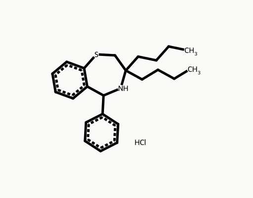 CCCCC1(CCCC)CSc2ccccc2C(c2ccccc2)N1.Cl